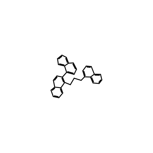 c1ccc2c(CCCc3c(-c4cccc5ccccc45)ccc4ccccc34)cccc2c1